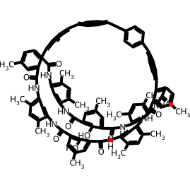 Cc1cc2c(O)c(c1)C(=O)Nc1cc(c(C)cc1C)NC(=O)c1cc(C)cc3c1-c1ccc(cc1)-c1ccc(cc1)-c1ccc(cc1)-c1ccc(cc1)-c1c(cc(C)cc1C(=O)Nc1cc(c(C)cc1C)NC(=O)c1cc(C)cc(c1O)C(=O)Nc1cc(c(C)cc1C)NC3=O)C(=O)Nc1cc(c(C)cc1C)NC2=O